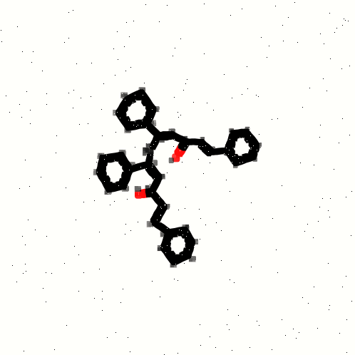 O=C(C=Cc1ccccc1)C=[C]([Pd][C](=CC(=O)C=Cc1ccccc1)c1ccccc1)c1ccccc1